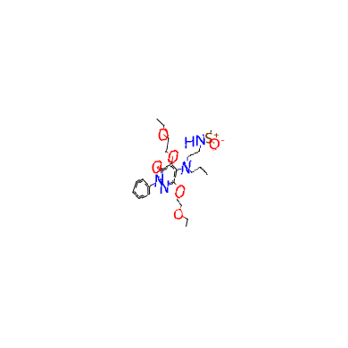 CCCN(CCN[S+](C)[O-])c1c(OCCOCC)nn(-c2ccccc2)c(=O)c1OCCOCC